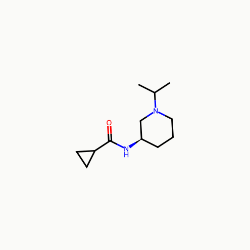 CC(C)N1CCC[C@@H](NC(=O)C2CC2)C1